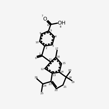 C=C(c1ccc(C(=O)O)cc1)c1cc2c(cc1C)C(C)(C)CC=C2C(C)C